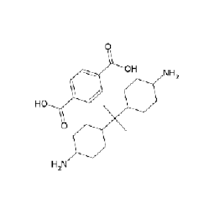 CC(C)(C1CCC(N)CC1)C1CCC(N)CC1.O=C(O)c1ccc(C(=O)O)cc1